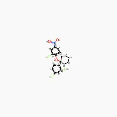 O=[N+]([O-])c1ccc(OC2(c3ccc(F)cc3F)CCCCC2)c(F)c1